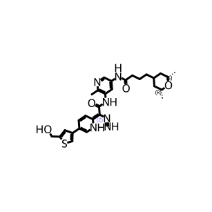 Cc1ncc(NC(=O)CCCC2C[C@@H](C)O[C@@H](C)C2)cc1NC(=O)/C(N=N)=C1\C=CC(c2csc(CO)c2)=CN1